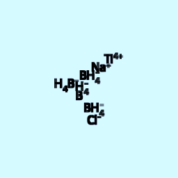 [BH4-].[BH4-].[BH4-].[BH4-].[Cl-].[Na+].[Ti+4]